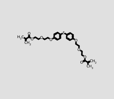 C=C(C)C(=O)OCCOCCOc1ccc(Sc2ccc(OCCOCCOC(=O)C(=C)C)cc2)cc1